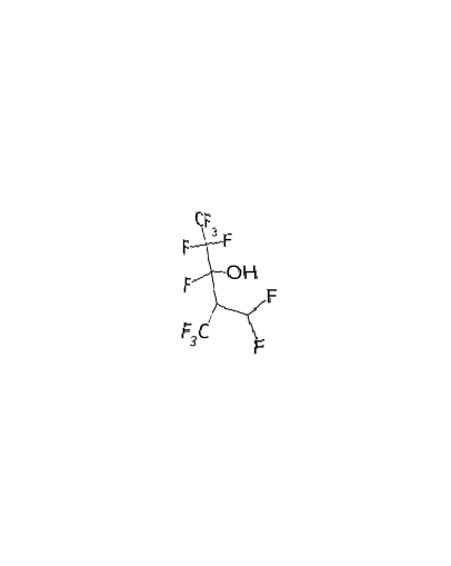 OC(F)(C(C(F)F)C(F)(F)F)C(F)(F)C(F)(F)F